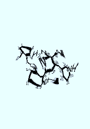 Cc1ccccc1COc1cccc(O)c1-c1cc(C2CCCNC2)c(C#N)c(N)n1